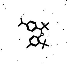 Cc1ccc(OC(c2ccc(C(C)C)cc2)C(C)(C)C)c(C(C)(C)C)c1